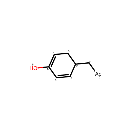 CC(=O)CC1C=CC(O)=CC1